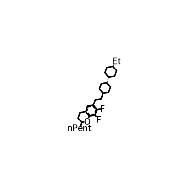 CCCCCC1CCc2cc(CCC3CCC([C@H]4CC[C@H](CC)CC4)CC3)c(F)c(F)c2O1